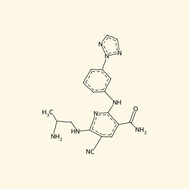 CC(N)CNc1nc(Nc2cccc(-n3nccn3)c2)c(C(N)=O)cc1C#N